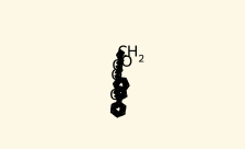 C=CC(=O)OCOc1ccc2cc(-c3ccccc3)oc2c1